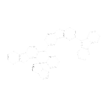 c1ccc2c(c1)N(c1ccc3oc4ccc(-n5c6ccccc6c6ccccc65)cc4c3c1)c1ccc3c(sc4ccccc43)c1C21c2ccsc2-c2sccc21